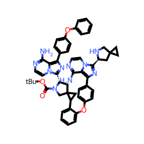 CC(C)(C)OC(=O)N1CC2(CC2c2ccccc2Oc2ccc(-c3nc([C@@H]4CC5(CC5)CN4)n4ccnc(N)c34)cc2)C[C@H]1c1nc(-c2ccc(Oc3ccccc3)cc2)c2c(N)nccn12